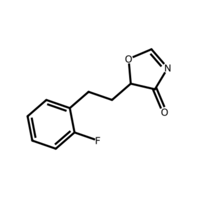 O=C1N=COC1CCc1ccccc1F